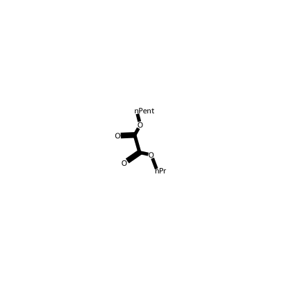 CCCCCOC(=O)C(=O)OCCC